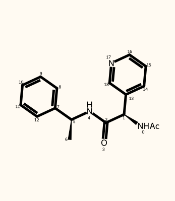 CC(=O)N[C@@H](C(=O)N[C@@H](C)c1ccccc1)c1cccnc1